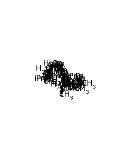 C/C=C/C[C@@H](C)[C@H](O)C(C(=O)N[C@H](CC)C(=O)N(C)CC(=O)N(C)[C@@H](CC(C)C)C(N)=O)N(C)C(=O)[C@H](C(C)C)N(C)C(=O)[C@@H](CC(C)C)N(C)C(=O)[C@@H](CC(C)C)N(C)C(=O)[C@H](C)NC(=O)[C@@H](C)NC(=O)CN(C)C(=O)[C@H](C)C(C)C